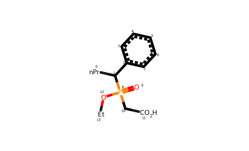 CCCC(c1ccccc1)P(=O)(CC(=O)O)OCC